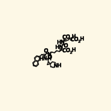 O=C(O)CC[C@H](NC(=O)N[C@@H](CCCCNC(=O)[C@H](Cc1ccc2ccccc2c1)NC(=O)C1CC12CCNCC2)C(=O)O)C(=O)O